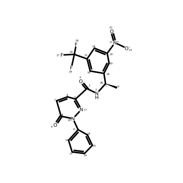 C[C@@H](NC(=O)c1ccc(=O)n(-c2ccccc2)n1)c1cc([N+](=O)[O-])cc(C(F)(F)F)c1